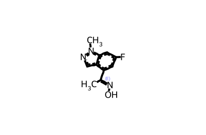 C/C(=N\O)c1cc(F)cc2c1cnn2C